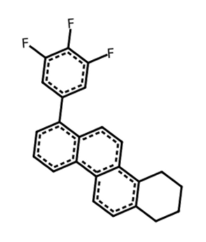 Fc1cc(-c2cccc3c2ccc2c4c(ccc23)CCCC4)cc(F)c1F